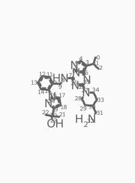 CC(C)c1cnn2c(NCc3ccccc3-n3ccc(C(C)(C)O)n3)nc(N3CCC(CN)CC3)nc12